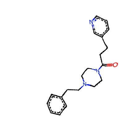 O=C(CCc1cccnc1)N1CCN(CCc2ccccc2)CC1